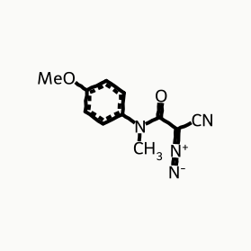 COc1ccc(N(C)C(=O)C(C#N)=[N+]=[N-])cc1